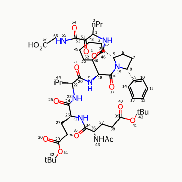 CCCC(NC(=O)[C@@H]1CC[C@H](c2ccccc2)N1C(=O)[C@@H](NC(=O)[C@@H](NC(=O)[C@H](CCC(=O)OC(C)(C)C)NC(=O)[C@H](CCC(=O)OC(C)(C)C)NC(C)=O)C(C)C)C1CCCCC1)C(=O)C(=O)NCC(=O)O